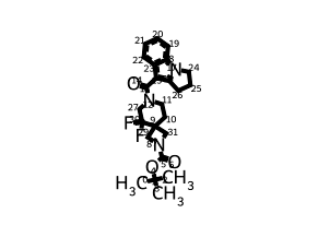 CC(C)(C)OC(=O)N1CC2(CCN(C(=O)c3c4n(c5ccccc35)CCC4)CC2(F)F)C1